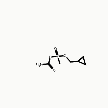 CP(=O)(OCC1CC1)OC(N)=O